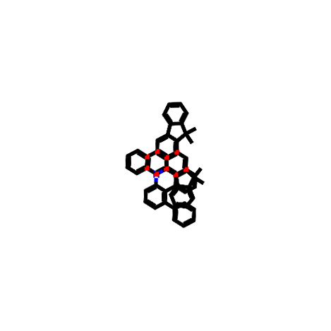 CC1(C)c2ccccc2-c2cc(-c3ccccc3N(c3cccc(-c4ccccc4)c3-c3ccccc3-c3ccccc3)c3cccc4c3-c3ccccc3C4(C)C)ccc21